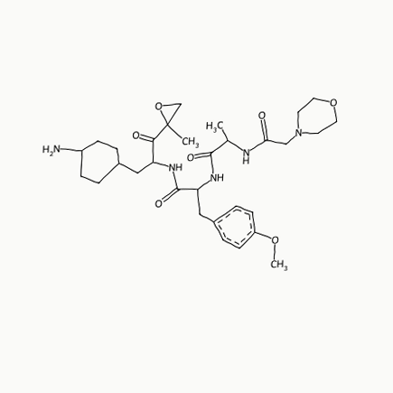 COc1ccc(CC(NC(=O)C(C)NC(=O)CN2CCOCC2)C(=O)NC(CC2CCC(N)CC2)C(=O)C2(C)CO2)cc1